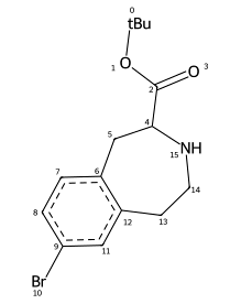 CC(C)(C)OC(=O)C1Cc2ccc(Br)cc2CCN1